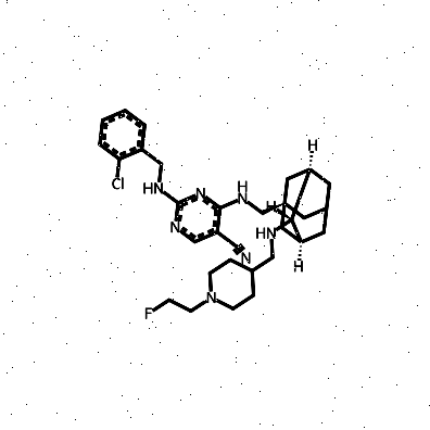 N#Cc1cnc(NCc2ccccc2Cl)nc1NC[C@]12CC3C[C@H](C1)[C@@H](NCC1CCN(CCF)CC1)[C@@H](C3)C2